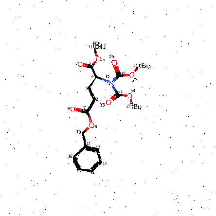 CC(C)(C)OC(=O)[C@H](CCC(=O)OCc1ccccc1)N(C(=O)OC(C)(C)C)C(=O)OC(C)(C)C